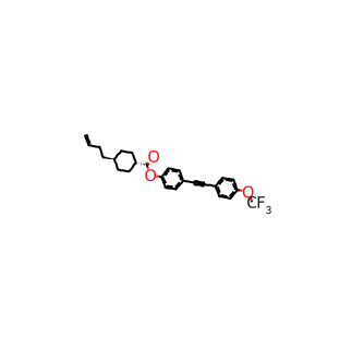 C=CCC[C@H]1CC[C@H](C(=O)Oc2ccc(C#Cc3ccc(OC(F)(F)F)cc3)cc2)CC1